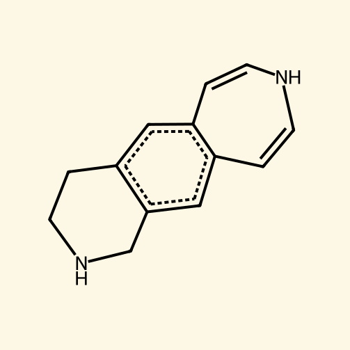 C1=Cc2cc3c(cc2C=CN1)CNCC3